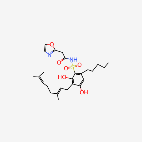 CCCCCc1cc(O)c(C/C=C(\C)CCC=C(C)C)c(O)c1S(=O)(=O)NC(=O)Cc1ncco1